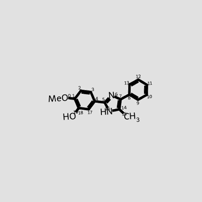 COc1ccc(-c2nc(-c3ccccc3)c(C)[nH]2)cc1O